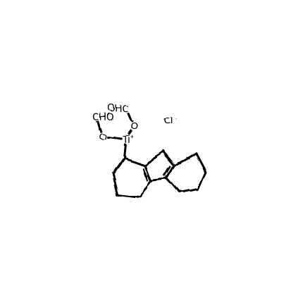 O=C[O][Ti+]([O]C=O)[CH]1CCCC2=C1CC1=C2CCCC1.[Cl-]